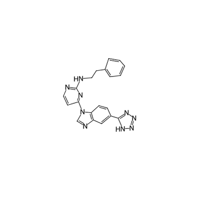 c1ccc(CCNc2nccc(-n3cnc4cc(-c5nnn[nH]5)ccc43)n2)cc1